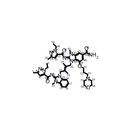 CCn1nc(C)cc1C(=O)/N=c1\n(C)c2ccccc2n1C/C(C)=C(\C)Cn1/c(=N/C(=O)c2cc(C)nn2CC)n(C)c2cc(C(N)=O)cc(OCCCN3CCOCC3)c21